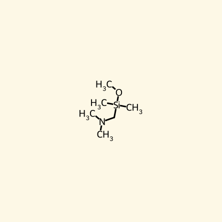 CO[Si](C)(C)CN(C)C